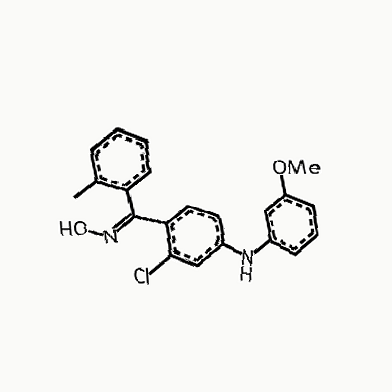 COc1cccc(Nc2ccc(C(=NO)c3ccccc3C)c(Cl)c2)c1